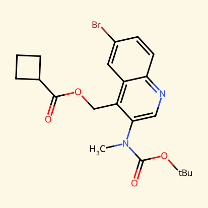 CN(C(=O)OC(C)(C)C)c1cnc2ccc(Br)cc2c1COC(=O)C1CCC1